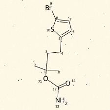 CC(C)(CCc1ccc(Br)s1)OC(N)=O